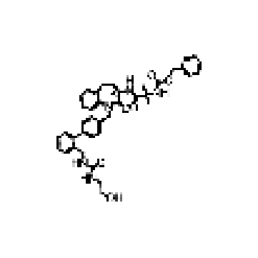 CC(C)(NC(=O)OCc1ccccc1)C(=O)N[C@@H]1CCc2ccccc2N(Cc2ccc(-c3ccccc3CNC(=O)NCCO)cc2)C1=O